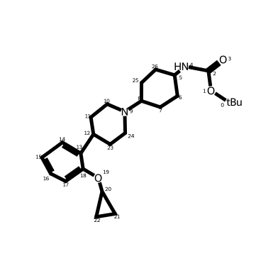 CC(C)(C)OC(=O)NC1CCC(N2CCC(c3ccccc3OC3CC3)CC2)CC1